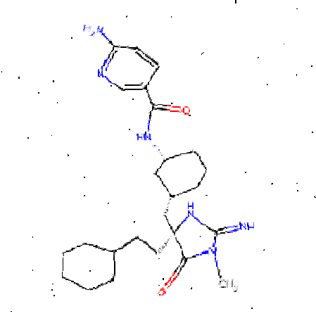 CN1C(=N)N[C@](CCC2CCCCC2)(C[C@H]2CCC[C@@H](NC(=O)c3ccc(N)nc3)C2)C1=O